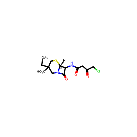 CC(=O)OCC1(C(=O)O)CS[C@@H]2C(NC(=O)CC(=O)CCl)C(=O)N2C1